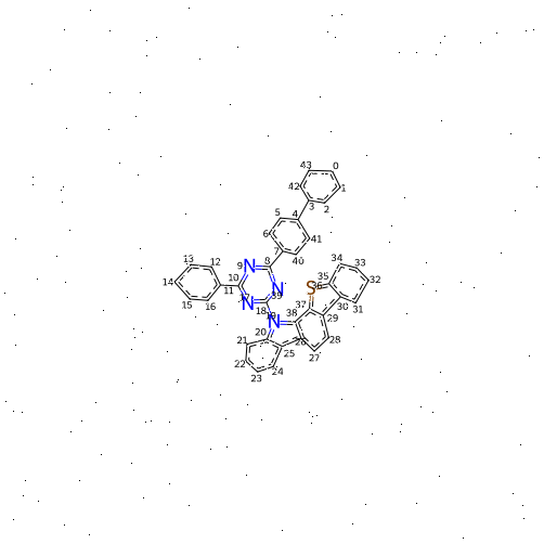 c1ccc(-c2ccc(-c3nc(-c4ccccc4)nc(-n4c5ccccc5c5ccc6c7ccccc7sc6c54)n3)cc2)cc1